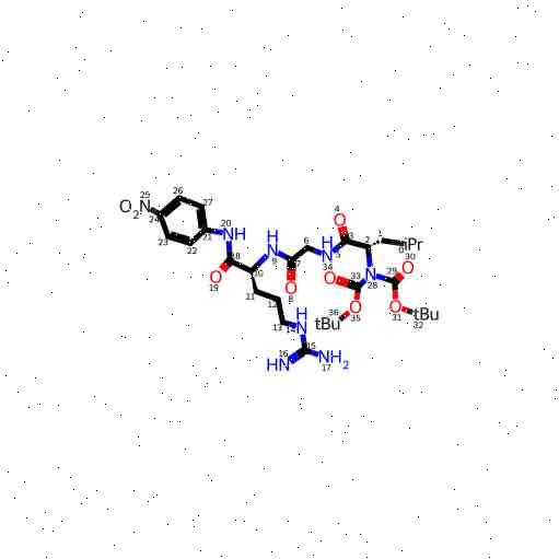 CC(C)C[C@@H](C(=O)NCC(=O)N[C@@H](CCCNC(=N)N)C(=O)Nc1ccc([N+](=O)[O-])cc1)N(C(=O)OC(C)(C)C)C(=O)OC(C)(C)C